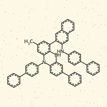 Cc1cc(-c2cc3ccccc3cc2Nc2ccc(-c3ccccc3)cc2)c2c(c1)N(c1ccc(-c3ccccc3)cc1)c1ccc(-c3ccccc3)cc1B2